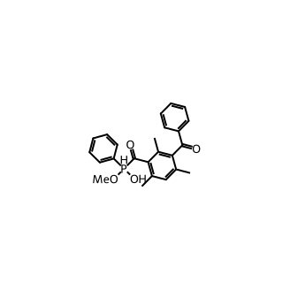 CO[PH](O)(C(=O)c1c(C)cc(C)c(C(=O)c2ccccc2)c1C)c1ccccc1